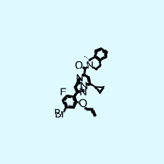 C=CCOc1cc(Br)cc(F)c1-c1cc2nc(C(=O)N3CCc4ccccc4[C@H]3C)cc(C3CC3)n2n1